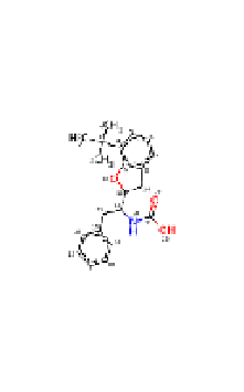 CC(C)(C)c1cccc2c1OC(C(Cc1ccccc1)NC(=O)O)C2